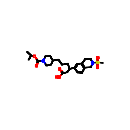 CC(C)OC(=O)N1CCC(CCCC(CC(=O)O)c2ccc3c(c2)CCN(S(C)(=O)=O)C3)CC1